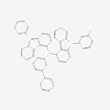 Fc1cccc(-n2c3ccccc3c3c(N(c4cccc(-c5ccccc5)c4)c4cccc5c4c4ccccc4n5-c4ccccc4)cccc32)c1